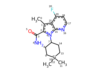 Cc1c(C(N)=O)n(C2CC[Si](C)(C)CC2)c2nccc(F)c12